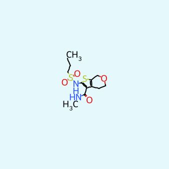 CCCCS(=O)(=O)Nc1sc2c(c1C(=O)NC)CCOC2